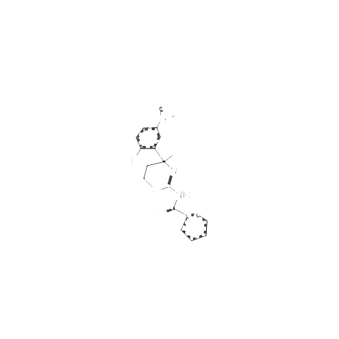 CC1(c2cc([N+](=O)[O-])ccc2F)CCOC(NC(=O)c2ccccc2)=N1